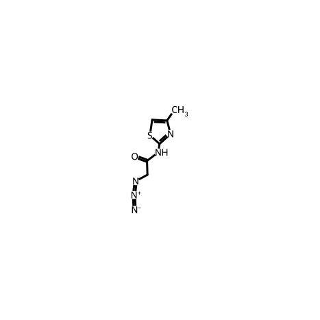 Cc1csc(NC(=O)CN=[N+]=[N-])n1